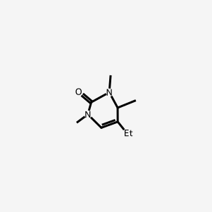 CCC1=CN(C)C(=O)N(C)C1C